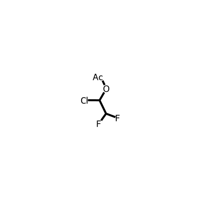 CC(=O)OC(Cl)C(F)F